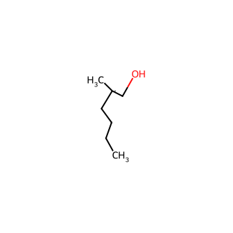 CCCC[C](C)CO